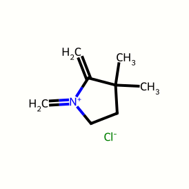 C=C1[N+](=C)CCC1(C)C.[Cl-]